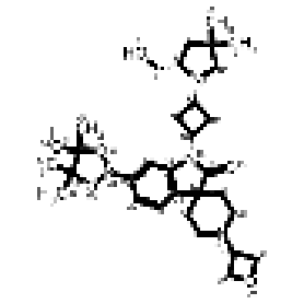 CC1(C)C[C@@H](CO)N([C@H]2C[C@@H](N3C(=O)C4(CCN(C5COC5)CC4)c4ccc(B5OC(C)(C)C(C)(C)O5)cc43)C2)C1